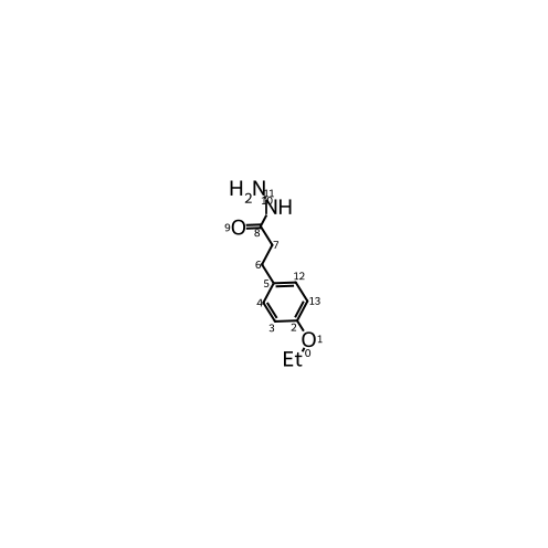 CCOc1ccc(CCC(=O)NN)cc1